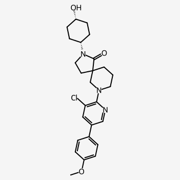 COc1ccc(-c2cnc(N3CCCC4(CCN([C@H]5CC[C@@H](O)CC5)C4=O)C3)c(Cl)c2)cc1